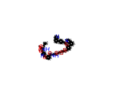 COC(=O)[C@H](CCC(C)(C)C)NC(=O)c1ccc(Oc2cccc(C(=O)NCCOCCOCCOCc3ccc(-c4cccc5ccncc45)c(OCCc4ccc(-c5cccc6ccncc56)cc4)c3)c2)nc1